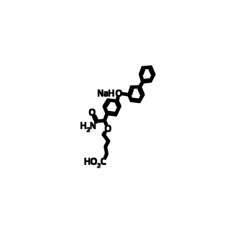 NC(=O)C(OCCCCC(=O)O)c1ccc(Oc2cccc(-c3ccccc3)c2)cc1.[NaH]